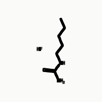 CCCCCNC(N)=O.F